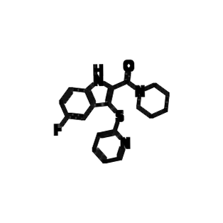 O=C(c1[nH]c2ccc(F)cc2c1Sc1ccccn1)N1CCCCC1